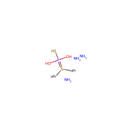 CCCS(CCC)=P(O)(O)S.N.N.N